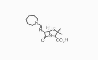 CC1(C)S[C@@H]2[C@H](N=CN3CCCCCC3)C(=O)N2C1C(=O)O